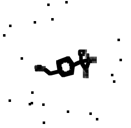 CC(C)(C)Cc1ccc(C2(C(F)(F)F)NN2)cc1